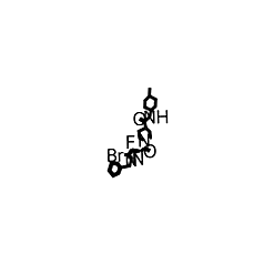 CC1CCC(NC(=O)C2CCN(C(=O)c3nn(Cc4ccccc4)c(Br)c3F)CC2)CC1